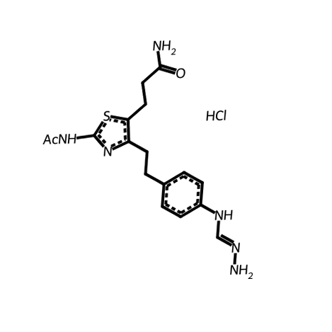 CC(=O)Nc1nc(CCc2ccc(NC=NN)cc2)c(CCC(N)=O)s1.Cl